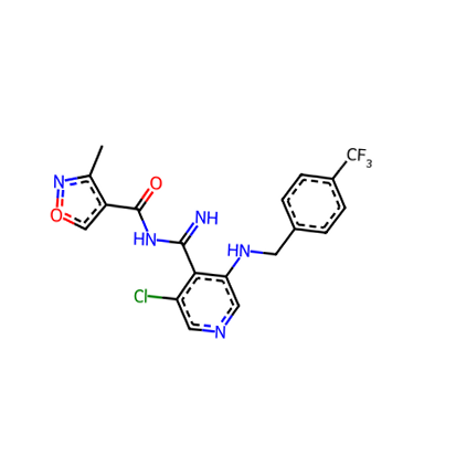 Cc1nocc1C(=O)NC(=N)c1c(Cl)cncc1NCc1ccc(C(F)(F)F)cc1